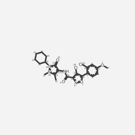 COc1ccc(-c2onc(C(=O)Nc3c(C)n(C)n(C4CCCCC4)c3=O)c2Cl)c(Cl)c1